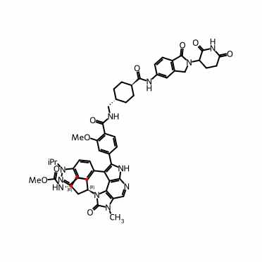 COC(=O)N[C@@H]1CC[C@@H](n2c(=O)n(C)c3cnc4[nH]c(-c5ccc(C(=O)NC[C@H]6CC[C@H](C(=O)Nc7ccc8c(c7)CN(C7CCC(=O)NC7=O)C8=O)CC6)c(OC)c5)c(-c5ccc6c(cnn6C(C)C)c5)c4c32)C1